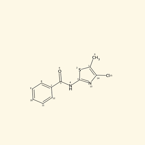 Cc1sc(NC(=O)c2ccccc2)nc1Cl